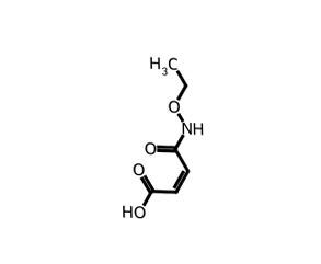 CCONC(=O)/C=C\C(=O)O